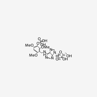 COc1cc(OC)c(OP(=O)(O)O)c(OC)c1CNc1ncnc2c1ncn2[C@@H]1O[C@H](CO)[C@@H](O)[C@H]1O